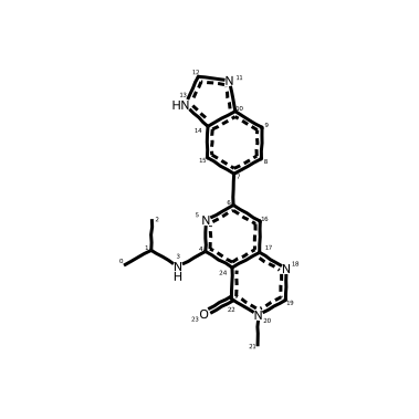 CC(C)Nc1nc(-c2ccc3nc[nH]c3c2)cc2ncn(C)c(=O)c12